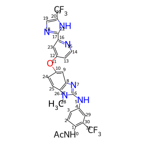 CC(=O)Nc1ccc(Nc2nc3cc(Oc4ccnc(-c5ncc(C(F)(F)F)[nH]5)c4)ccc3n2C)cc1C(F)(F)F